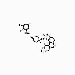 COc1ccc2ncc(CN)c(C(O)CCC3(C(=O)O)CCN(CCNc4cc(F)cc(F)c4F)CC3)c2c1